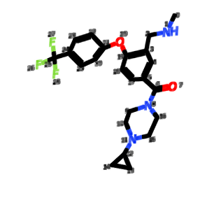 CNCc1cc(C(=O)N2CCN(C3CC3)CC2)ccc1Oc1ccc(C(F)(F)F)cc1